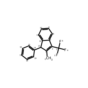 CC1=C(C(F)(F)F)c2ccccc2C1c1ccccc1